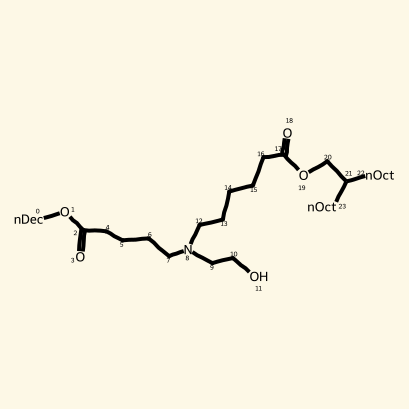 CCCCCCCCCCOC(=O)CCCCN(CCO)CCCCCC(=O)OCC(CCCCCCCC)CCCCCCCC